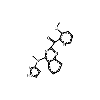 COc1cccnc1C(=O)c1nc(N(C)c2cc[nH]n2)c2ccccc2n1